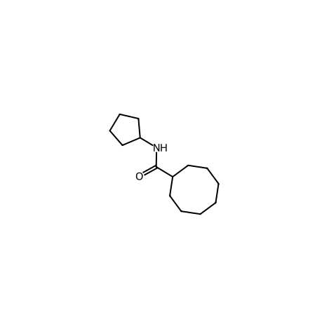 O=C(NC1CCCC1)C1CCCCCCC1